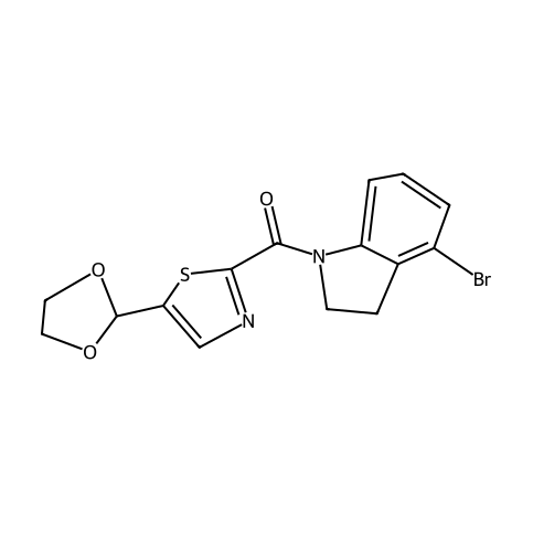 O=C(c1ncc(C2OCCO2)s1)N1CCc2c(Br)cccc21